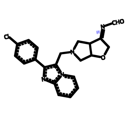 O=C/N=C1\COC2CN(Cc3c(-c4ccc(Cl)cc4)nc4ccccn34)CC12